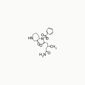 C[C@@H](CC(N)=O)CC(=O)N(C1CCCNCC1=O)S(=O)(=O)c1ccccc1